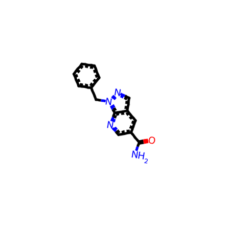 NC(=O)c1cnc2c(cnn2Cc2ccccc2)c1